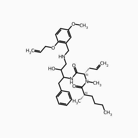 C=CCOc1ccc(OC)cc1CNCC(O)C(Cc1ccccc1)NC(=O)[C@H](CC=C)N(C)C(=O)[C@@H](C)CCCC